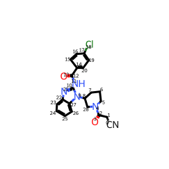 N#CCC(=O)N1CCCC(n2c(NC(=O)c3ccc(Cl)cc3)nc3ccccc32)C1